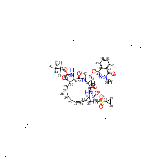 CC(C)n1nc(O[C@@H]2C[C@H]3C(=O)N[C@]4(C(=O)NS(=O)(=O)C5CC5)CC4/C=C\CC[C@H](C)C[C@@H](C)[C@H](NC(=O)OC(C)(C)C(C)(F)F)C(=O)N3C2)c2ccccc2c1=O